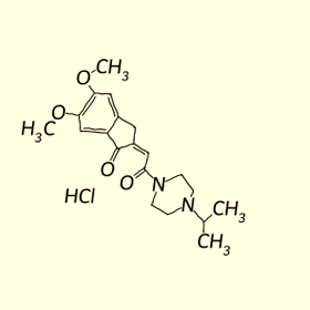 COc1cc2c(cc1OC)C(=O)C(=CC(=O)N1CCN(C(C)C)CC1)C2.Cl